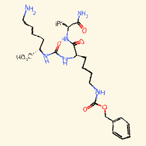 CC(C)[C@H](NC(=O)[C@@H](CCCCNC(=O)OCc1ccccc1)NC(=O)N[C@@H](CCCCN)C(=O)O)C(N)=O